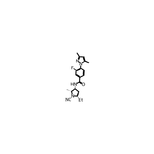 CC[C@H]1C[C@@H](NC(=O)c2ccc(-n3nc(C)cc3C)c(F)c2)[C@@H](C)N1C#N